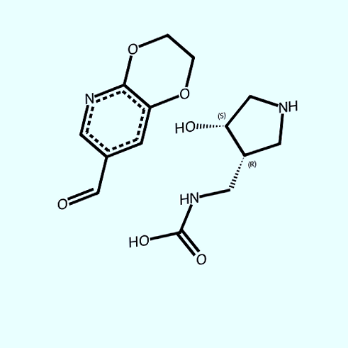 O=C(O)NC[C@H]1CNC[C@H]1O.O=Cc1cnc2c(c1)OCCO2